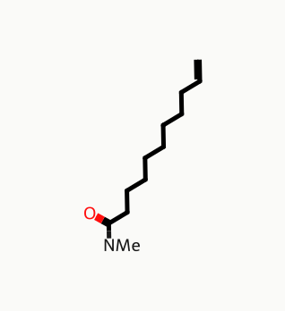 C=CCCCCCCCCC(=O)NC